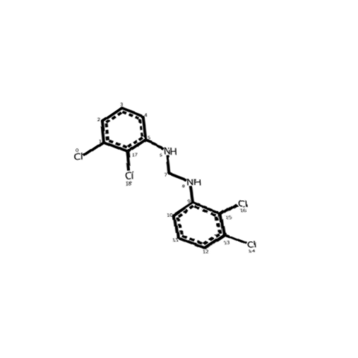 Clc1cccc(NCNc2cccc(Cl)c2Cl)c1Cl